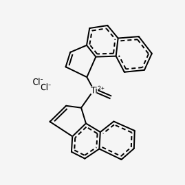 [CH2]=[Ti+2]([CH]1C=Cc2ccc3ccccc3c21)[CH]1C=Cc2ccc3ccccc3c21.[Cl-].[Cl-]